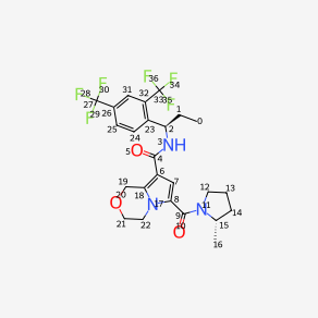 CC[C@@H](NC(=O)c1cc(C(=O)N2CCC[C@@H]2C)n2c1COCC2)c1ccc(C(F)(F)F)cc1C(F)(F)F